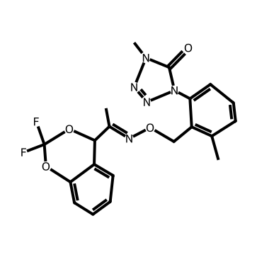 CC(=NOCc1c(C)cccc1-n1nnn(C)c1=O)C1OC(F)(F)Oc2ccccc21